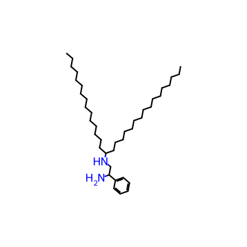 CCCCCCCCCCCCCCCCC(CCCCCCCCCCCCCCC)NCC(N)c1ccccc1